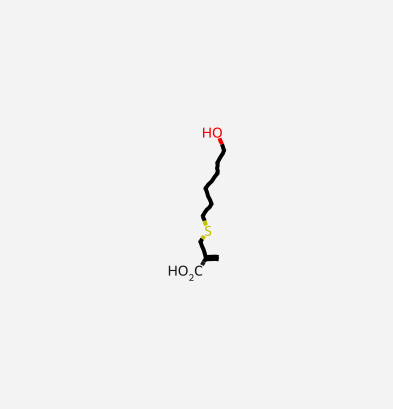 C=C(CSCCCCCCO)C(=O)O